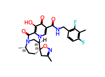 CC1=NO[C@@]2(CC[C@H](C)N3C[C@H]2n2cc(C(=O)NCc4ccc(F)c(C)c4F)c(=O)c(O)c2C3=O)C1